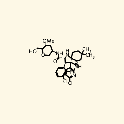 CO[C@@H]1C[C@@H](NC(=O)[C@@H]2NC3(CCC(C)(C)CC3)[C@@]3(C(=O)Nc4nc(Cl)ccc43)[C@H]2c2cccc(Cl)c2F)COC1CO